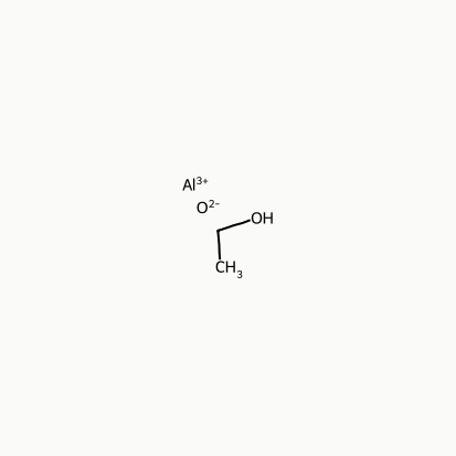 CCO.[Al+3].[O-2]